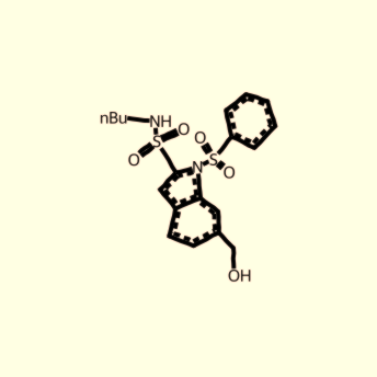 CCCCNS(=O)(=O)c1cc2ccc(CO)cc2n1S(=O)(=O)c1ccccc1